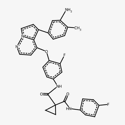 Cc1ccc(-c2ccn3nccc(Oc4ccc(NC(=O)C5(C(=O)Nc6ccc(F)cc6)CC5)cc4F)c23)cc1N